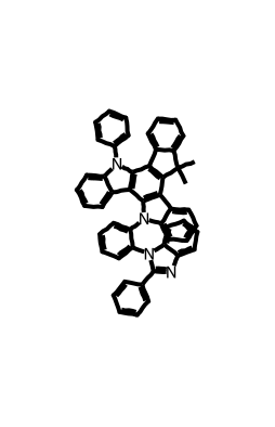 CC1(C)c2ccccc2-c2c1c1c3ccccc3n(-c3ccccc3-n3c(-c4ccccc4)nc4ccccc43)c1c1c3ccccc3n(-c3ccccc3)c21